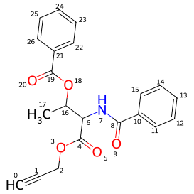 C#CCOC(=O)C(NC(=O)c1ccccc1)C(C)OC(=O)c1ccccc1